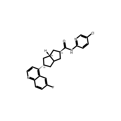 O=C(Nc1ccc(Cl)cn1)[C@H]1CC2C[C@H](c3ccnc4ccc(F)cc34)C[C@@H]2C1